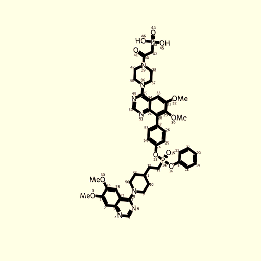 COc1cc2ncnc(N3CCC(CCP(=O)(Oc4ccccc4)Oc4ccc(-c5c(OC)c(OC)cc6c(N7CCN(C(=O)CP(=O)(O)O)CC7)ncnc56)cc4)CC3)c2cc1OC